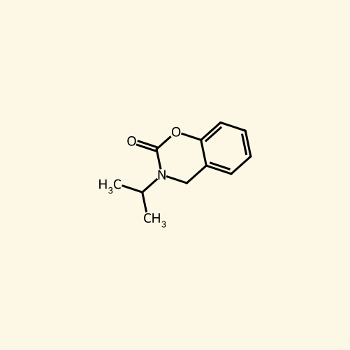 CC(C)N1Cc2ccccc2OC1=O